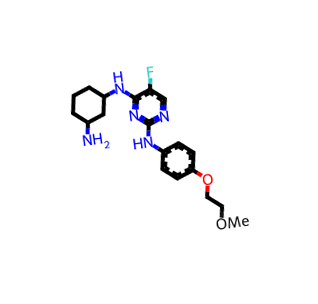 COCCOc1ccc(Nc2ncc(F)c(NC3CCCC(N)C3)n2)cc1